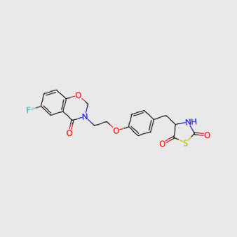 O=C1NC(Cc2ccc(OCCN3COc4ccc(F)cc4C3=O)cc2)C(=O)S1